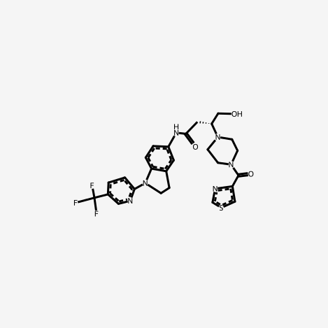 O=C(C[C@H](CO)N1CCN(C(=O)c2cscn2)CC1)Nc1ccc2c(c1)CCN2c1ccc(C(F)(F)F)cn1